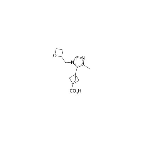 Cc1ncn(CC2CCO2)c1C12CC(C(=O)O)(C1)C2